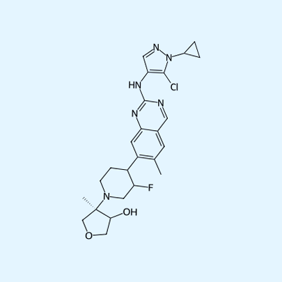 Cc1cc2cnc(Nc3cnn(C4CC4)c3Cl)nc2cc1C1CCN([C@]2(C)COCC2O)CC1F